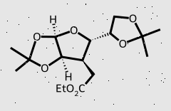 CCOC(=O)C[C@H]1[C@H]2OC(C)(C)O[C@H]2O[C@@H]1C1COC(C)(C)O1